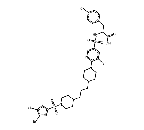 O=C(O)C(Cc1ccc(Cl)cc1)NS(=O)(=O)c1cnc(N2CCC(CCCC3CCN(S(=O)(=O)c4cc(Br)c(Cl)s4)CC3)CC2)c(Br)c1